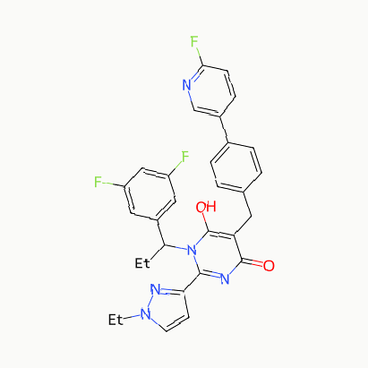 CCC(c1cc(F)cc(F)c1)n1c(-c2ccn(CC)n2)nc(=O)c(Cc2ccc(-c3ccc(F)nc3)cc2)c1O